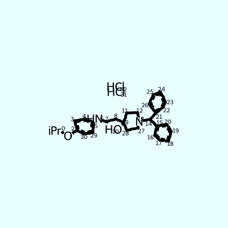 CC(C)Oc1ccc(NCCC2(O)CCN(C(c3ccccc3)c3ccccc3)CC2)cc1.Cl.Cl